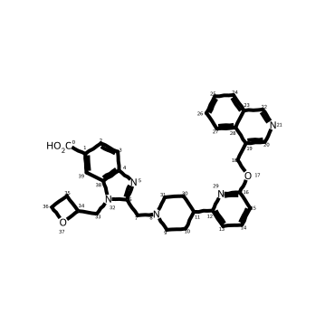 O=C(O)c1ccc2nc(CN3CCC(c4cccc(OCc5cncc6ccccc56)n4)CC3)n(CC3CCO3)c2c1